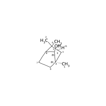 CC1(C)C[C@@]2(C)CCC1[C@H]2O